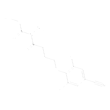 COC(=O)N(N)C(=O)CCCOc1c(C)cc(C#N)cc1C